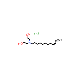 CCCCCCCC/C=C\CCCCCCCCN(CCO)CCO.Cl